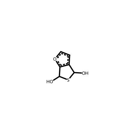 OC1SC(O)c2occc21